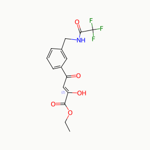 CCOC(=O)/C(O)=C/C(=O)c1cccc(CNC(=O)C(F)(F)F)c1